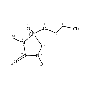 CN1CP(=O)(OCCCl)N(C)C1=O